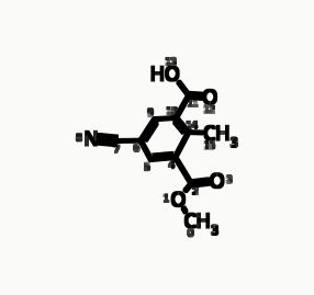 COC(=O)c1cc(C#N)cc(C(=O)O)c1C